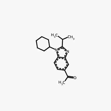 CC(=O)c1ccc2c(c1)nc(C(C)C)n2C1CCCCC1